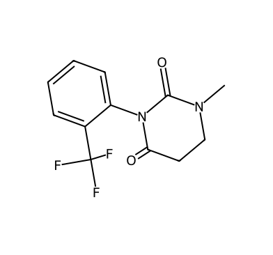 CN1CCC(=O)N(c2ccccc2C(F)(F)F)C1=O